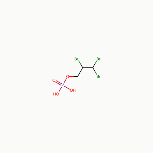 O=P(O)(O)OCC(Br)C(Br)Br